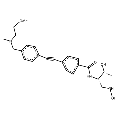 COCCN(C)Cc1ccc(C#Cc2ccc(C(=O)N[C@@H](CNO)[C@@H](C)O)cc2)cc1